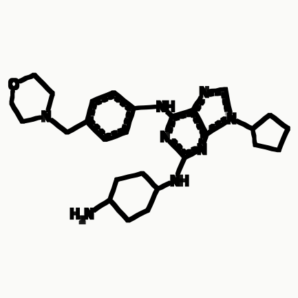 NC1CCC(Nc2nc(Nc3ccc(CN4CCOCC4)cc3)c3ncn(C4CCCC4)c3n2)CC1